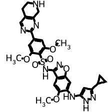 COc1cc2c(NS(=O)(=O)c3c(OC)cc(-c4ncc5c(n4)CNCC5)cc3OC)noc2cc1Nc1cc(C2CC2)n[nH]1